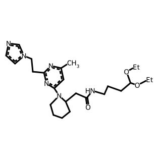 CCOC(CCCNC(=O)CC1CCCCN1c1cc(C)nc(CCn2ccnc2)n1)OCC